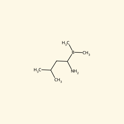 CB(C)C(N)CC(C)C